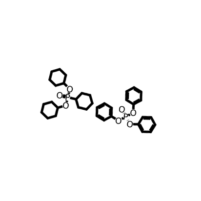 O=P(OC1CCCCC1)(OC1CCCCC1)C1CCCCC1.O=P(Oc1ccccc1)(Oc1ccccc1)Oc1ccccc1